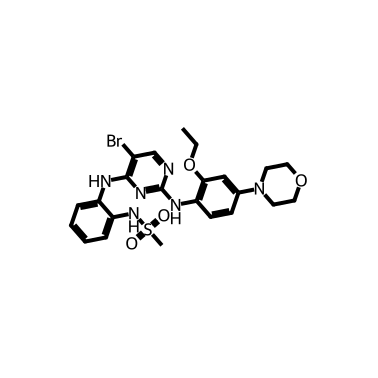 CCOc1cc(N2CCOCC2)ccc1Nc1ncc(Br)c(Nc2ccccc2NS(C)(=O)=O)n1